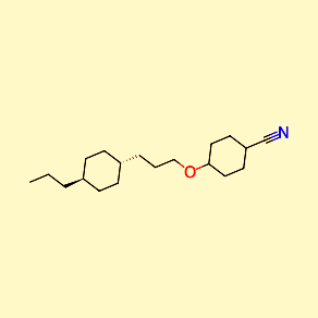 CCC[C@H]1CC[C@H](CCCOC2CCC(C#N)CC2)CC1